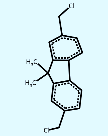 CC1(C)c2cc(CCl)ccc2-c2ccc(CCl)cc21